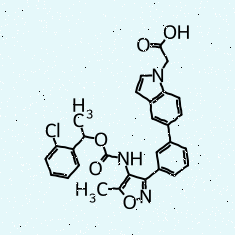 Cc1onc(-c2cccc(-c3ccc4c(ccn4CC(=O)O)c3)c2)c1NC(=O)OC(C)c1ccccc1Cl